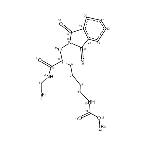 CC(C)CNC(=O)[C@@H](CCCCNC(=O)OC(C)(C)C)ON1C(=O)c2ccccc2C1=O